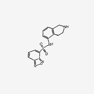 O=S(=O)(Nc1cccc2c1CCNC2)c1cccc2nonc12